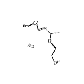 CCOC=NC(C)OCCO.Cl